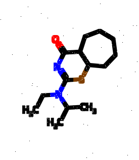 CCN(C1=NC(=O)C2CCCCCC2S1)C(C)C